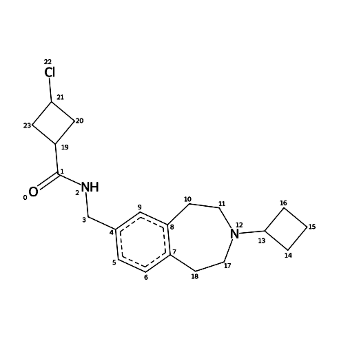 O=C(NCc1ccc2c(c1)CCN(C1CCC1)CC2)C1CC(Cl)C1